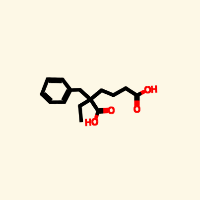 CCC(CCCC(=O)O)(Cc1ccccc1)C(=O)O